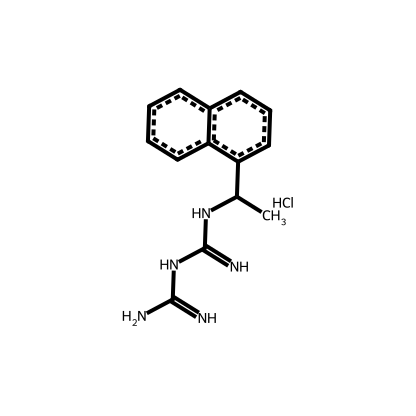 CC(NC(=N)NC(=N)N)c1cccc2ccccc12.Cl